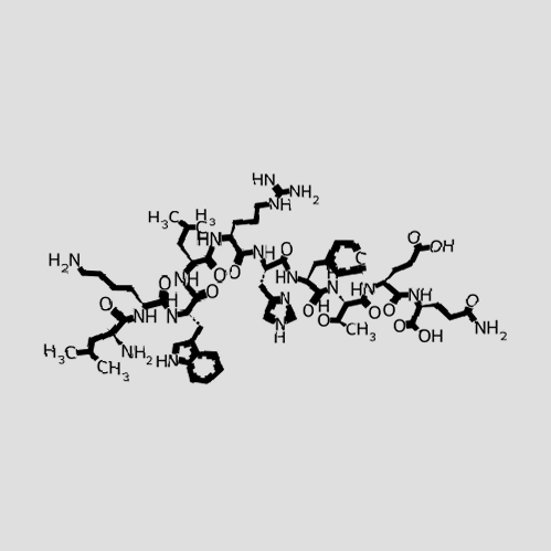 CC(C)C[C@H](NC(=O)[C@H](Cc1c[nH]c2ccccc12)NC(=O)[C@H](CCCCN)NC(=O)[C@@H](N)CC(C)C)C(=O)N[C@@H](CCCNC(=N)N)C(=O)N[C@@H](Cc1c[nH]cn1)C(=O)N[C@@H](Cc1ccccc1)C(=O)N[C@H](C(=O)N[C@@H](CCC(=O)O)C(=O)N[C@@H](CCC(N)=O)C(=O)O)[C@@H](C)O